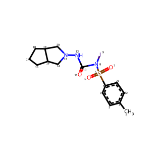 Cc1ccc(S(=O)(=O)N(I)C(=O)NN2CC3CCCC3C2)cc1